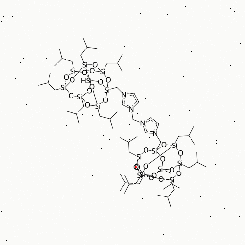 CC(C)C[Si]12O[SiH]3O[Si]4(CC(C)C)O[Si](CC(C)C)(O1)O[Si]1(CC(C)C)O[Si](CC(C)C)(O2)O[Si](C[n+]2ccn(C[n+]5ccn(C[Si]67O[Si]8(CC(C)C)O[Si]9(CC(C)C)O[Si]%10(CC(C)C)O[Si](CC(C)C)(O8)O[Si](CC(C)C)(O[Si](CC(C)C)(O%10)O[Si](CC(C)C)(O9)O6)O7)c5)c2)(O3)O[Si](CC(C)C)(O4)O1